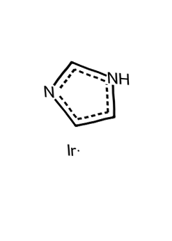 [Ir].c1c[nH]cn1